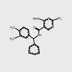 COc1nc(C(F)(F)F)ncc1C(=O)NC(c1ccccc1)c1ccc(C)c(C)c1